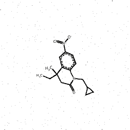 CCC1(C)CC(=O)N(CC2CC2)c2ccc([N+](=O)[O-])cc21